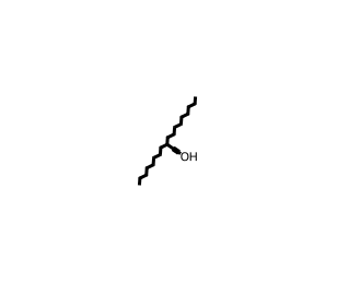 CCCCCCCCCC(C#CO)CCCCCCCC